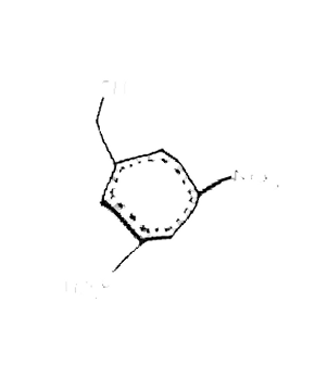 O=C(O)c1cc(CO)cc([N+](=O)[O-])c1